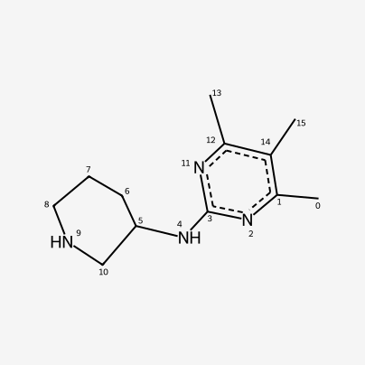 Cc1nc(NC2CCCNC2)nc(C)c1C